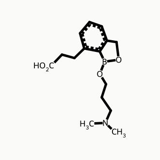 CN(C)CCCOB1OCc2cccc(CCC(=O)O)c21